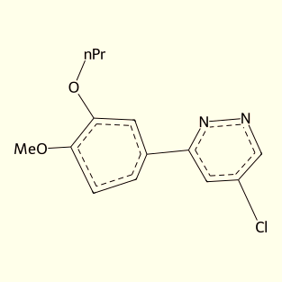 CCCOc1cc(-c2cc(Cl)cnn2)ccc1OC